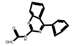 O=CC(=O)Nc1nc(-c2ccccc2)c2ccccc2n1